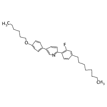 CCCCCCCCc1ccc(-c2ccc(-c3ccc(OCCCCCC)cc3)cn2)c(F)c1